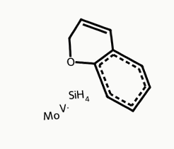 C1=Cc2ccccc2OC1.[Mo].[SiH4].[V]